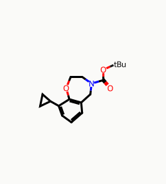 CC(C)(C)OC(=O)N1CCOc2c(cccc2C2CC2)C1